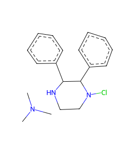 CN(C)C.ClN1CCNC(c2ccccc2)C1c1ccccc1